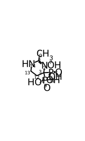 CC1=NC(P(=O)(O)O)(P(=O)(O)O)CCN1